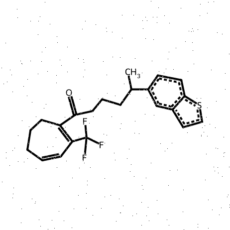 CC(CCCC(=O)C1=C(C(F)(F)F)C=CCCC1)c1ccc2sccc2c1